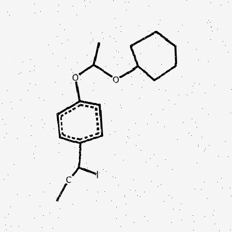 CCC(I)c1ccc(OC(C)OC2CCCCC2)cc1